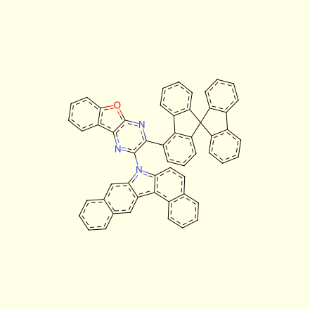 c1ccc2c(c1)-c1ccccc1C21c2ccccc2-c2c(-c3nc4oc5ccccc5c4nc3-n3c4cc5ccccc5cc4c4c5ccccc5ccc43)cccc21